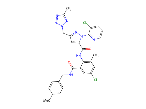 COc1ccc(CNC(=O)c2cc(Cl)cc(C)c2NC(=O)c2cc(Cn3nnc(C(F)(F)F)n3)nn2-c2ncccc2Cl)cc1